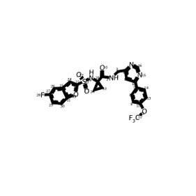 O=C(NCc1cc(-c2ccc(OC(F)(F)F)cc2)ncn1)C1(NS(=O)(=O)c2cc3cc(F)ccc3o2)CC1